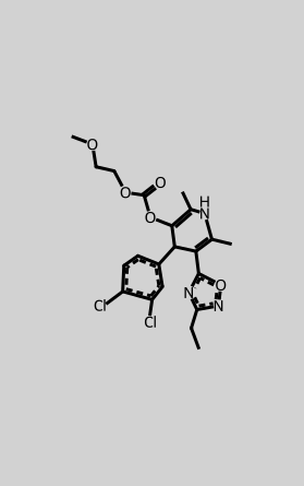 CCc1noc(C2=C(C)NC(C)=C(OC(=O)OCCOC)C2c2ccc(Cl)c(Cl)c2)n1